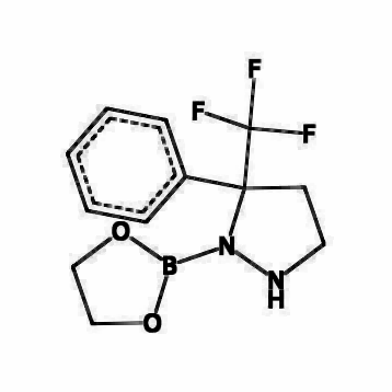 FC(F)(F)C1(c2ccccc2)CCNN1B1OCCO1